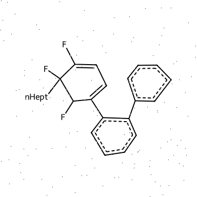 CCCCCCCC1(F)C(F)=CC=C(c2ccccc2-c2ccccc2)C1F